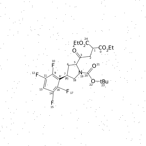 CCOC(=O)C(CC(=O)C1C[C@H](c2c(F)c(F)cc(F)c2F)CN1C(=O)OC(C)(C)C)C(=O)OCC